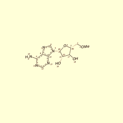 COC[C@H]1O[C@@H](n2cnc3c(N)ncnc32)[C@@H](O)C1O